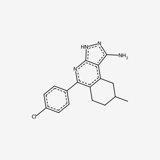 CC1CCc2c(-c3ccc(Cl)cc3)nc3[nH]nc(N)c3c2C1